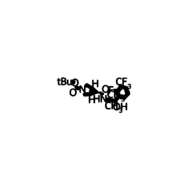 CC(C)(C)OC(=O)N1C[C@@H]2[C@H](C1)[C@H]2C(=O)NC(C)(C)C(O)c1cccc(C(F)(F)F)c1F